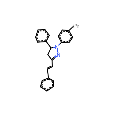 CC(C)c1ccc(N2N=C(C=Cc3ccccc3)CC2c2ccccc2)cc1